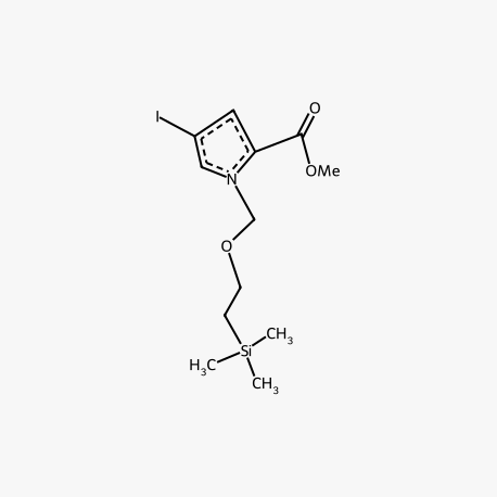 COC(=O)c1cc(I)cn1COCC[Si](C)(C)C